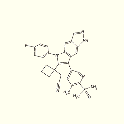 Cc1cc(-c2c(C3(CC#N)CCC3)n(-c3ccc(F)cc3)c3cc4cn[nH]c4cc23)cnc1P(C)(C)=O